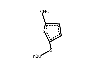 CCCCSc1ccc(C=O)s1